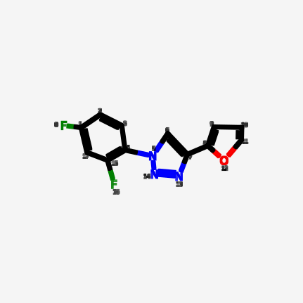 Fc1ccc(-n2cc(-c3ccco3)nn2)c(F)c1